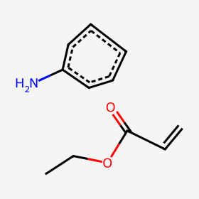 C=CC(=O)OCC.Nc1ccccc1